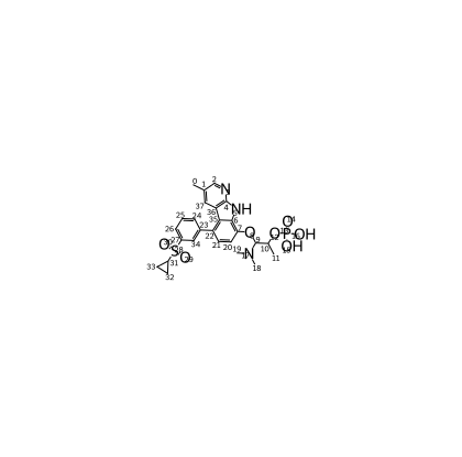 Cc1cnc2[nH]c3c(OC(C(C)OP(=O)(O)O)N(C)C)ccc(-c4cccc(S(=O)(=O)C5CC5)c4)c3c2c1